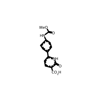 COC(=O)Nc1ccc(-c2ccc(C(=O)O)c(=O)[nH]2)cc1